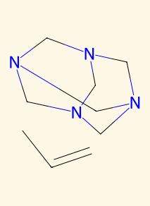 C1N2CN3CN1CN(C2)C3.C=CC